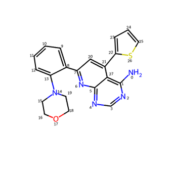 Nc1ncnc2nc(-c3ccccc3N3CCOCC3)cc(-c3cccs3)c12